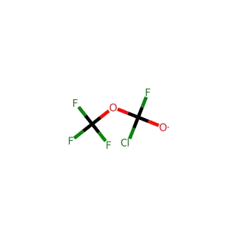 [O]C(F)(Cl)OC(F)(F)F